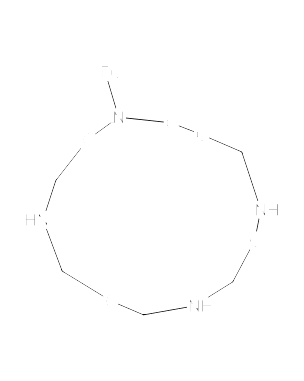 [Eu][N]1CCCNCCNCCCNCC1